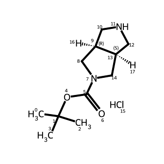 CC(C)(C)OC(=O)N1C[C@H]2CNC[C@H]2C1.Cl